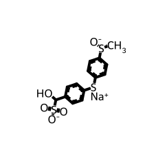 C[S+]([O-])c1ccc(Sc2ccc(C(O)S(=O)(=O)[O-])cc2)cc1.[Na+]